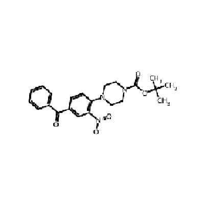 CC(C)(C)OC(=O)N1CCN(c2ccc(C(=O)c3ccccc3)cc2[N+](=O)[O-])CC1